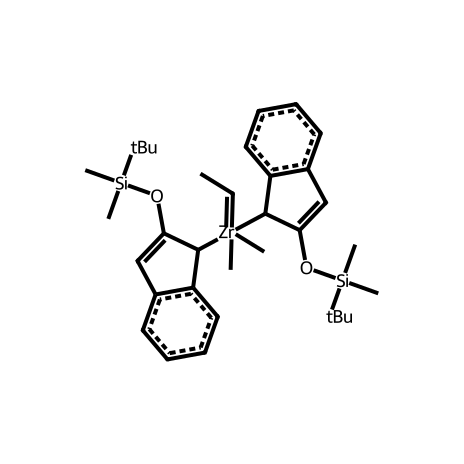 C[CH]=[Zr]([CH3])([CH3])([CH]1C(O[Si](C)(C)C(C)(C)C)=Cc2ccccc21)[CH]1C(O[Si](C)(C)C(C)(C)C)=Cc2ccccc21